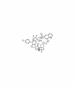 COc1cc(C(=O)NC[C@](O)(c2cc3c(c(-c4ccc(F)cc4)n2)OC[C@]3(C)C(=O)NC2(C(F)(F)F)CCCC2)C(F)(F)F)cc2cccnc12